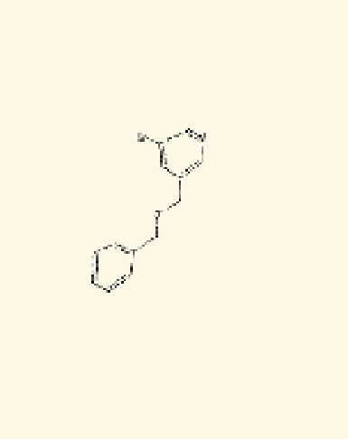 Brc1cncc(COCc2ccccc2)c1